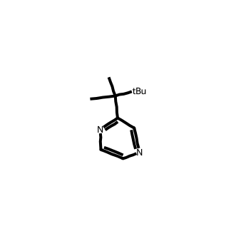 CC(C)(C)C(C)(C)c1cnccn1